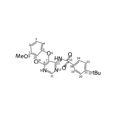 COc1cccc(Oc2c(Cl)ncnc2NS(=O)(=O)c2ccc(C(C)(C)C)cc2)c1